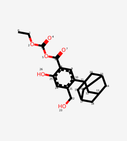 CCOC(=O)OC(=O)c1cc(C23CC4CC(CC(C4)C2)C3)c(CO)cc1O